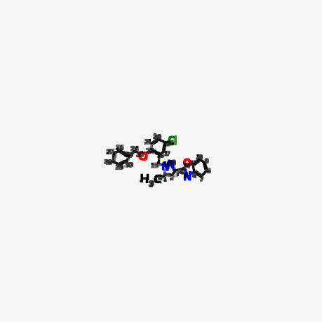 Cc1cc(-c2nc3ccccc3o2)nn1Cc1cc(Cl)ccc1OCc1ccccc1